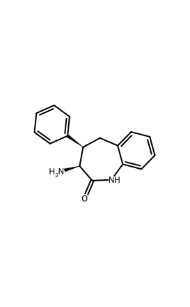 N[C@@H]1C(=O)Nc2ccccc2C[C@@H]1c1ccccc1